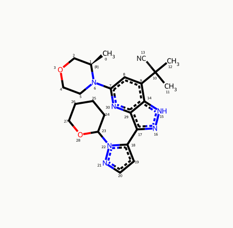 C[C@@H]1COCCN1c1cc(C(C)(C)C#N)c2[nH]nc(-c3ccnn3C3CCCCO3)c2n1